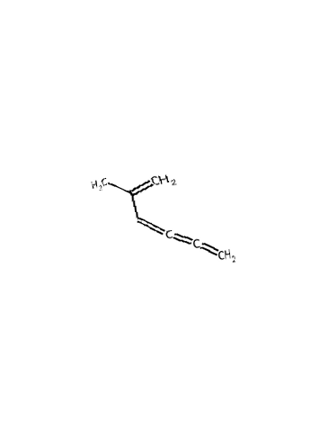 C=C=C=CC(=C)C